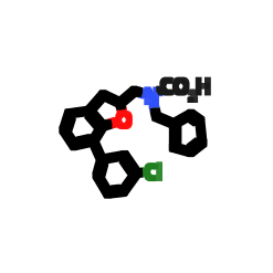 O=C(O)N(Cc1ccccc1)CC1Cc2cccc(-c3cccc(Cl)c3)c2O1